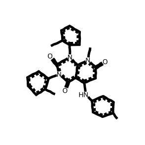 Cc1ccc(Nc2cc(=O)n(C)c3c2c(=O)n(-c2ccccc2C)c(=O)n3-c2ccccc2C)cc1